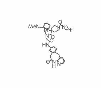 CCC1(C(=O)N(CC(=O)Nc2ccc3c(c2)CC(=O)Nc2ncccc2C3)Cc2ccccc2CNC)CCN(C(=O)N2CC(F)C2)CC1